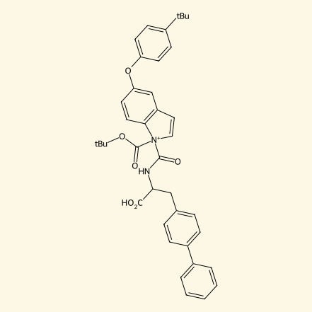 CC(C)(C)OC(=O)[N+]1(C(=O)NC(Cc2ccc(-c3ccccc3)cc2)C(=O)O)C=Cc2cc(Oc3ccc(C(C)(C)C)cc3)ccc21